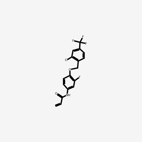 C=CC(=O)Nc1ccc(OCc2ccc(C(F)(F)F)cc2Cl)c(F)c1